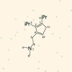 CC(C)C1=C(C(C)C)C(CCN(C)C)=CC1